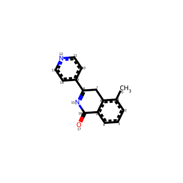 Cc1cccc2c1CC(c1ccncc1)=NC2=O